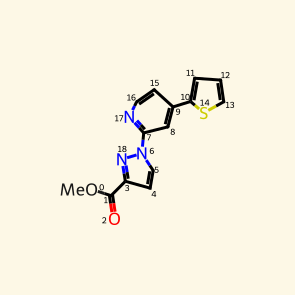 COC(=O)c1ccn(-c2cc(-c3cccs3)ccn2)n1